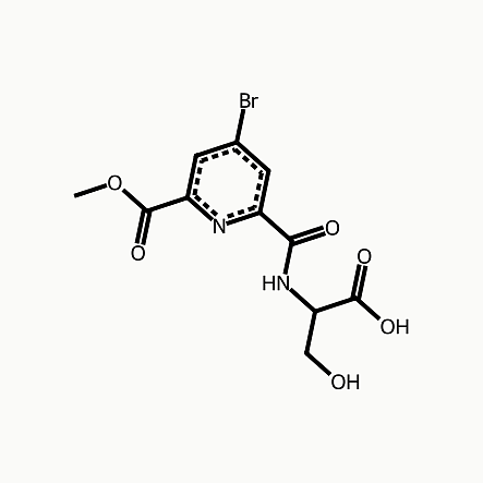 COC(=O)c1cc(Br)cc(C(=O)NC(CO)C(=O)O)n1